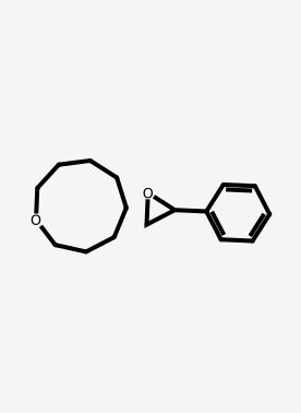 C1CCCCOCCC1.c1ccc(C2CO2)cc1